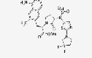 COC(=O)[C@@H](Cc1cc2ccnc(N)c2cc1C(F)(F)F)N1CC[C@H](N(c2cnc(N3CCC(F)(F)C3)s2)[SH](=O)=O)C1=O